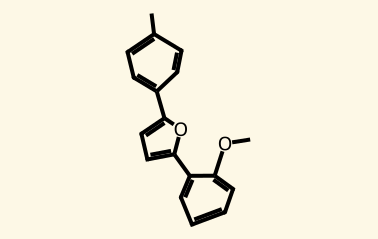 COc1ccccc1-c1ccc(-c2ccc(C)cc2)o1